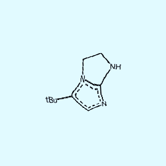 CC(C)(C)c1cnc2n1CCN2